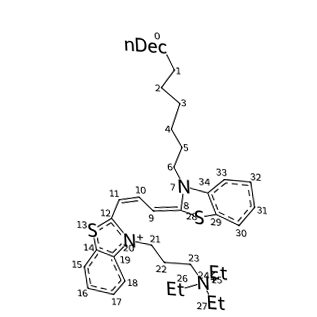 CCCCCCCCCCCCCCCCN1/C(=C\C=C/c2sc3ccccc3[n+]2CCC[N+](CC)(CC)CC)Sc2ccccc21